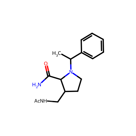 CC(=O)NCC1CCN(C(C)c2ccccc2)C1C(N)=O